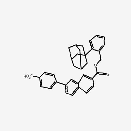 O=C(O)c1ccc(-c2ccc3ccc(C(=O)OCc4ccccc4C45CC6CC(CC(C6)C4)C5)cc3c2)cc1